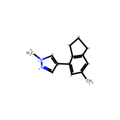 Cc1cc2c(c(-c3cnn(C)c3)c1)CCC2